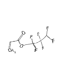 C=CC(=O)OC(F)(F)C(F)(F)C(F)F